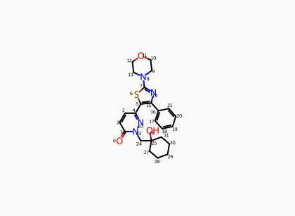 O=c1ccc(-c2sc(N3CCOCC3)nc2-c2ccccc2)nn1CC1(O)CCCCC1